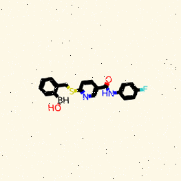 O=C(Nc1ccc(F)cc1)c1ccc(SCc2ccccc2BO)nc1